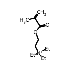 C=C(C)C(=O)OCC[N+](CC)(CC)CC